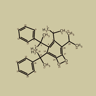 CC(C)c1c(C(C)(C)c2ccccc2)c(C(C)(C)c2ccccc2)c2ooc2c1C(C)C